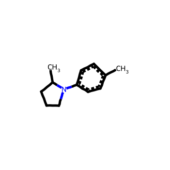 Cc1ccc(N2CCCC2C)cc1